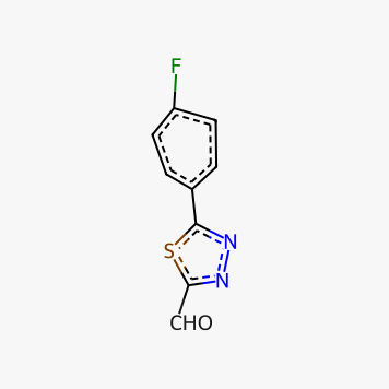 O=Cc1nnc(-c2ccc(F)cc2)s1